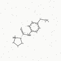 CCc1ccc(NC(=O)[C@@H]2CCCN2)nc1